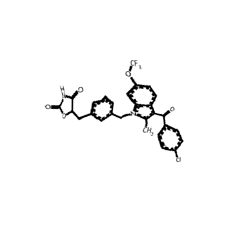 Cc1c(C(=O)c2ccc(Cl)cc2)c2ccc(OC(F)(F)F)cc2n1Cc1cccc(CC2OC(=O)NC2=O)c1